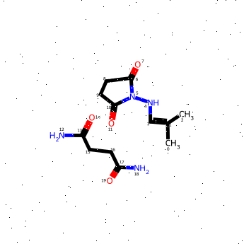 CC(C)=CNN1C(=O)CCC1=O.NC(=O)CCC(N)=O